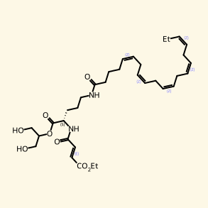 CC/C=C\C/C=C\C/C=C\C/C=C\C/C=C\CCCC(=O)NCCC[C@H](NC(=O)/C=C/C(=O)OCC)C(=O)OC(CO)CO